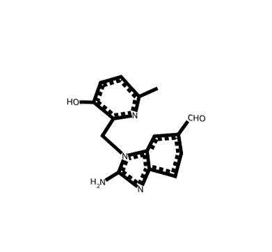 Cc1ccc(O)c(Cn2c(N)nc3ccc(C=O)cc32)n1